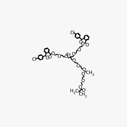 C=C(C)C(=O)OCCOCCOC(C)OCCOCCOCC(CC)(COCCOCCOC(=O)c1ccccc1C(=O)c1ccc(Cl)cc1)COCCOCCOC(=O)c1ccccc1C(=O)c1ccc(Cl)cc1